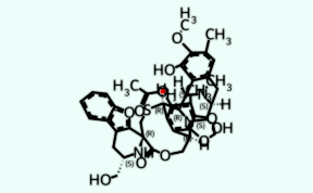 COc1c(C)cc2c(c1O)[C@H]1[C@@H]3[C@@H]4SC[C@]5(N[C@H](CO)Cc6c5oc5ccccc65)C(=O)OC[C@@H](c5c6c(c(C)c(OC(C)=O)c54)OCO6)N3[C@@H](O)[C@H](C2)N1C